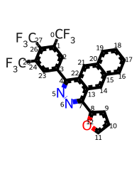 FC(F)(F)c1cc(-c2nnc(-c3ccco3)c3cc4ccccc4cc23)cc(C(F)(F)F)c1C(F)(F)F